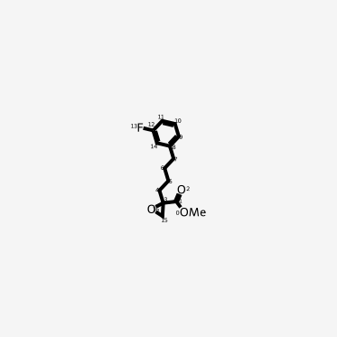 COC(=O)C1(CCCCc2cccc(F)c2)CO1